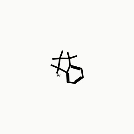 CC(C)C1(C)c2ccccc2C(C)(C)C1(C)C